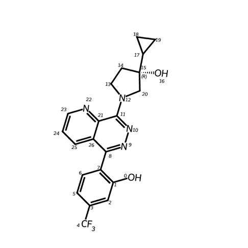 Oc1cc(C(F)(F)F)ccc1-c1nnc(N2CC[C@@](O)(C3CC3)C2)c2ncccc12